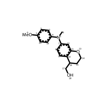 COc1ccc(N(C)c2ccc3c(c2)OCCC3CO)cc1